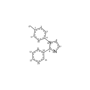 Cc1ccc(-n2ccnc2-c2cc[c]cc2)cc1